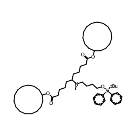 CN(CCCCO[Si](c1ccccc1)(c1ccccc1)C(C)(C)C)C(CCCCC(=O)OC1CCCCCCCCCCCCCC1)CCCCC(=O)OC1CCCCCCCCCCCCCC1